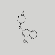 CN1CCC(Oc2cc(C(F)(F)F)c3ccccc3c2)CC1